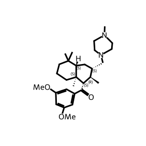 COc1cc(OC)cc(C(=O)[C@H]2[C@H](C)[C@@H](CN3CCN(C)CC3)C[C@H]3C(C)(C)CCC[C@]23C)c1